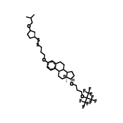 CC(C)COC1CCC(SSCCCOc2ccc3c(c2)CCC2C3CC[C@@]3(C)C2CC[C@@H]3OCCCOC(C(F)(F)F)(C(F)(F)F)C(F)(F)F)C1